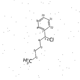 CCCCCC(Cl)c1ccccc1